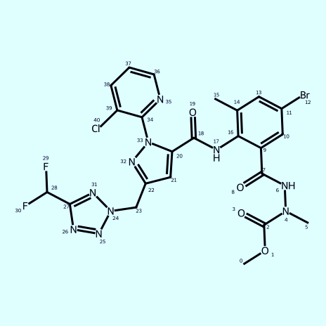 COC(=O)N(C)NC(=O)c1cc(Br)cc(C)c1NC(=O)c1cc(Cn2nnc(C(F)F)n2)nn1-c1ncccc1Cl